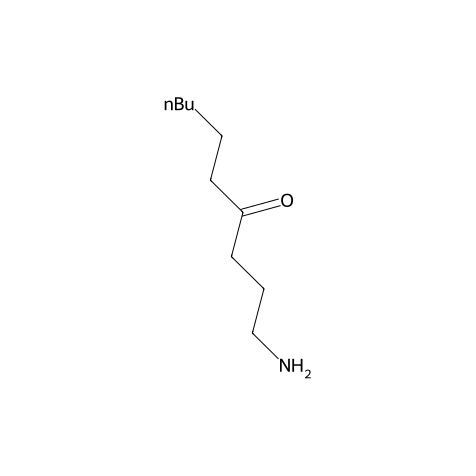 CCCCCCC(=O)CCCN